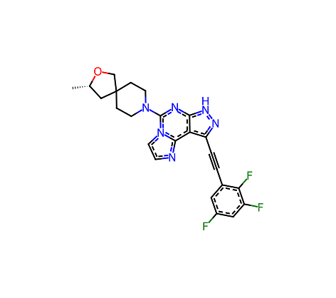 C[C@H]1CC2(CCN(c3nc4[nH]nc(C#Cc5cc(F)cc(F)c5F)c4c4nccn34)CC2)CO1